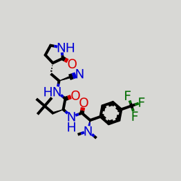 CN(C)[C@@H](C(=O)N[C@@H](CC(C)(C)C)C(=O)N[C@H](C#N)C[C@@H]1CCNC1=O)c1ccc(C(F)(F)F)cc1